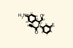 C#CC(=O)N(c1cccc(F)c1)C(C=O)c1ccc(N)cc1